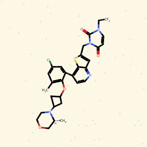 Cc1cc(Cl)cc(-c2ccnc3cc(Cn4c(=O)ccn(CC(F)(F)F)c4=O)sc23)c1OC1CC(N2CCOC[C@H]2C)C1